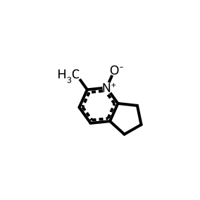 Cc1ccc2c([n+]1[O-])CCC2